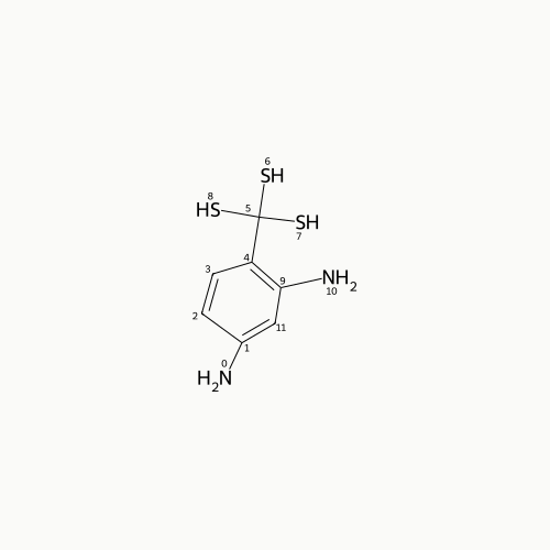 Nc1ccc(C(S)(S)S)c(N)c1